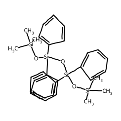 C[Si](C)(C)O[Si](O[Si](O[Si](C)(C)C)(c1ccccc1)c1ccccc1)(c1ccccc1)c1ccccc1